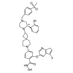 CC(C)c1ccccc1[C@@H]1CN(Cc2ccc(S(C)(=O)=O)cc2)CCN1C1CC2(CCN(c3ccc(C(=O)NO)c(Oc4cnc5c(c4)C(F)=CC5)c3)CC2)C1